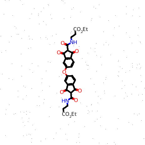 CCOC(=O)CCNC(=O)C1C(=O)c2ccc(Oc3ccc4c(c3)C(=O)C(C(=O)NCCC(=O)OCC)C4=O)cc2C1=O